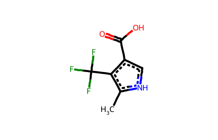 Cc1[nH]cc(C(=O)O)c1C(F)(F)F